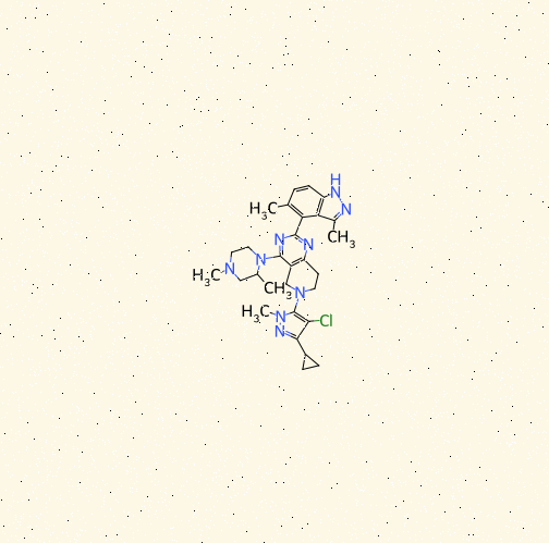 Cc1ccc2[nH]nc(C)c2c1-c1nc2c(c(N3CCN(C)CC3C)n1)CN(c1c(Cl)c(C3CC3)nn1C)CC2